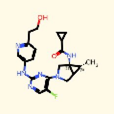 C[C@@H]1C2CN(c3nc(Nc4ccc(CCO)nc4)ncc3F)C[C@@]21NC(=O)C1CC1